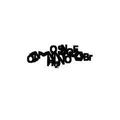 NC(=O)c1c(OCc2ccc(Br)cc2F)nsc1NC(=O)NCCCN1CCOCC1